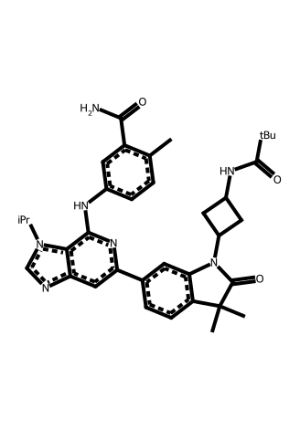 Cc1ccc(Nc2nc(-c3ccc4c(c3)N(C3CC(NC(=O)C(C)(C)C)C3)C(=O)C4(C)C)cc3ncn(C(C)C)c23)cc1C(N)=O